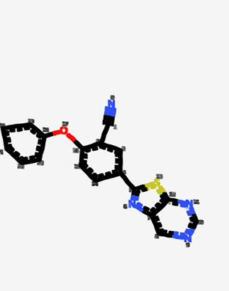 N#Cc1cc(-c2nc3cncnc3s2)ccc1Oc1ccccc1